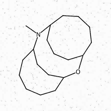 CN1C2CCCCC(CCC2)OC2CCCCCC1CC2